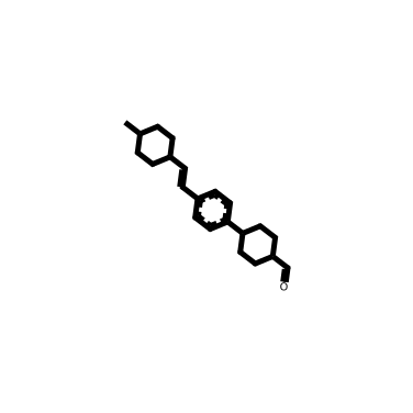 CC1CCC(C=Cc2ccc(C3CCC(C=O)CC3)cc2)CC1